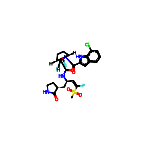 CS(=O)(=O)/C(F)=C\[C@@H](C[C@H]1CCNC1=O)NC(=O)[C@@H]1[C@@H]2CC[C@@H](CC2(F)F)N1C(=O)c1cc2cccc(Cl)c2[nH]1